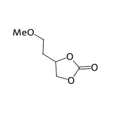 COCCC1COC(=O)O1